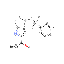 COC(=O)c1cc2c([nH]1)CCC2CC(C)(C)c1ccccc1